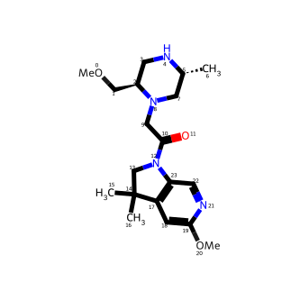 COC[C@H]1CN[C@H](C)CN1CC(=O)N1CC(C)(C)c2cc(OC)ncc21